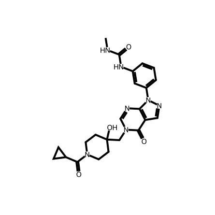 CNC(=O)Nc1cccc(-n2ncc3c(=O)n(CC4(O)CCN(C(=O)C5CC5)CC4)cnc32)c1